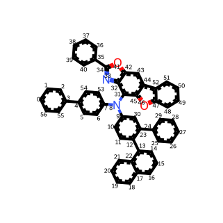 c1ccc(-c2ccc(N(c3ccc(-c4cccc5ccccc45)c(-c4ccccc4)c3)c3c4nc(-c5ccccc5)oc4cc4c3oc3ccccc34)cc2)cc1